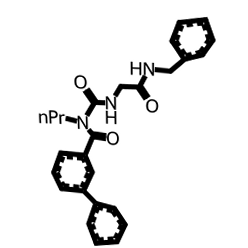 CCCN(C(=O)NCC(=O)NCc1ccccc1)C(=O)c1cccc(-c2ccccc2)c1